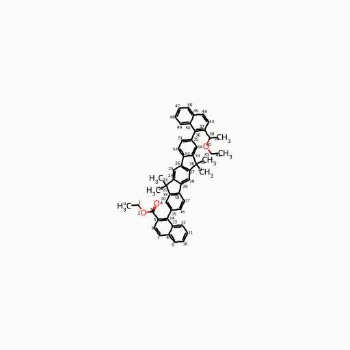 CCOC(=O)c1ccc2ccccc2c1-c1ccc2c(c1)C(C)(C)c1cc3c(cc1-2)C(C)(C)c1cc(-c2c(C(C)OCC)ccc4ccccc24)ccc1-3